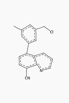 Cc1cc(CCl)cc(-c2ccc(C#N)c3ncccc23)c1